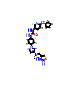 CN(CC1=CSNN1)C1CCN(c2ccc(NC(=O)Nc3ccc(OC4CCCC4)nc3)cc2)C1